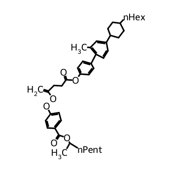 C=C(CCC(=O)Oc1ccc(-c2ccc(C3CCC(CCCCCC)CC3)cc2C)cc1)OOc1ccc(C(=O)OC(C)CCCCC)cc1